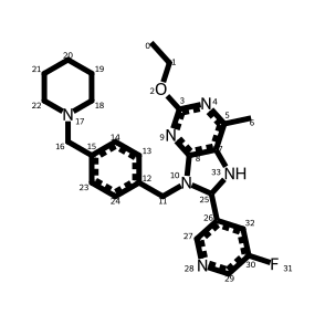 CCOc1nc(C)c2c(n1)N(Cc1ccc(CN3CCCCC3)cc1)C(c1cncc(F)c1)N2